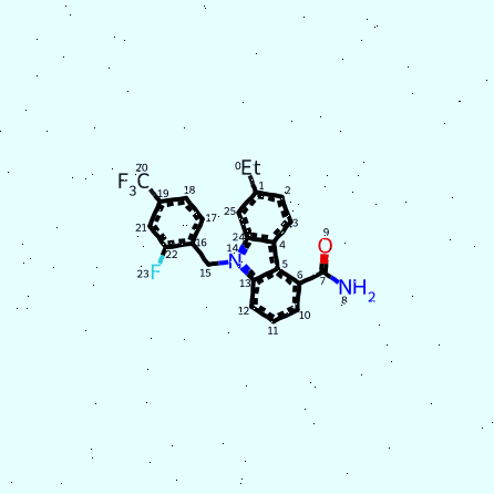 CCc1c[c]c2c3c(C(N)=O)cccc3n(Cc3ccc(C(F)(F)F)cc3F)c2c1